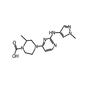 CC1CN(c2ccnc(Nc3cnn(C)c3)n2)CCN1C(=O)O